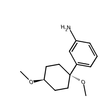 CO[C@H]1CC[C@@](OC)(c2cccc(N)c2)CC1